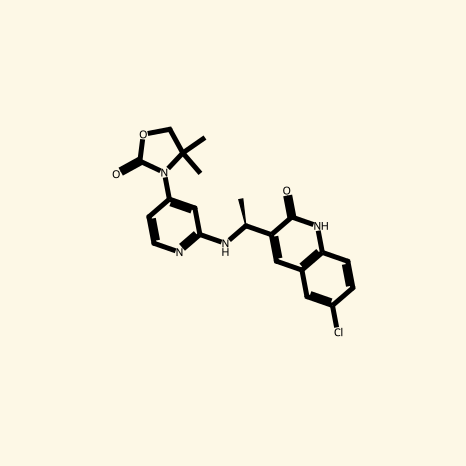 C[C@H](Nc1cc(N2C(=O)OCC2(C)C)ccn1)c1cc2cc(Cl)ccc2[nH]c1=O